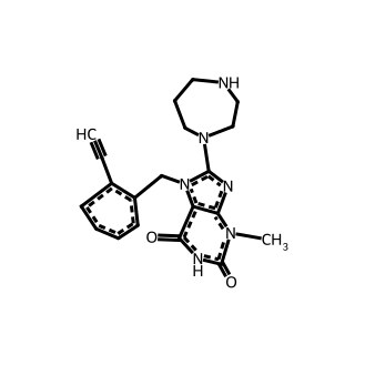 C#Cc1ccccc1Cn1c(N2CCCNCC2)nc2c1c(=O)[nH]c(=O)n2C